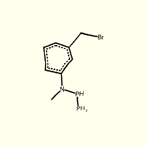 CN(PP)c1cccc(CBr)c1